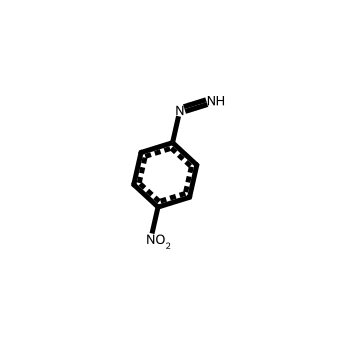 N=Nc1ccc([N+](=O)[O-])cc1